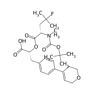 CN(C(=O)OC(C)(C)C)[C@@H](CC(C)(C)F)C(=O)O[C@H](Cc1ccc(C2=CCOCC2)cc1)C(=O)O